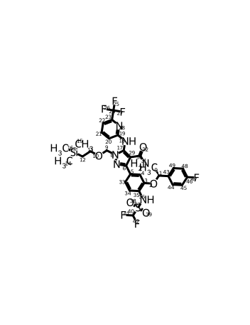 C[C@H](Oc1cc(-c2nn(COCC[Si](C)(C)C)c(Nc3cccc(C(F)(F)F)n3)c2C(N)=O)ccc1NS(=O)(=O)C(F)F)c1ccc(F)cc1